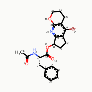 CC(=O)N[C@@H](Cc1ccccc1)C(=O)OC1CCc2c1nc1c(c2Br)CCCO1